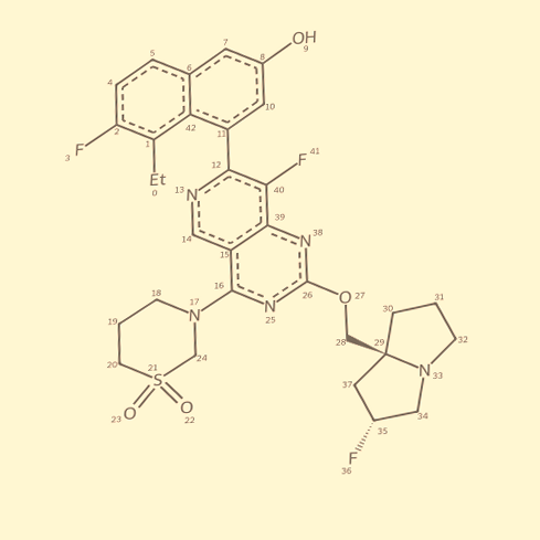 CCc1c(F)ccc2cc(O)cc(-c3ncc4c(N5CCCS(=O)(=O)C5)nc(OC[C@@]56CCCN5C[C@H](F)C6)nc4c3F)c12